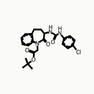 CC(C)(C)OC(=O)CN1C(=O)C(NC(=O)Nc2ccc(Cl)cc2)CCc2ccccc21